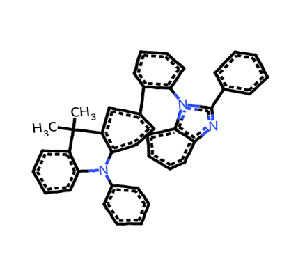 CC1(C)c2ccccc2N(c2ccccc2)c2ccc(-c3ccccc3-n3c(-c4ccccc4)nc4ccccc43)cc21